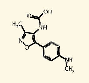 CNc1ccc(-c2onc(C)c2NC(=O)O)cc1